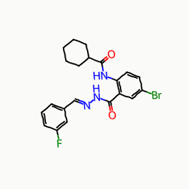 O=C(N/N=C/c1cccc(F)c1)c1cc(Br)ccc1NC(=O)C1CCCCC1